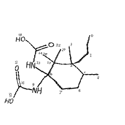 CCC1(C)C(C)CCC(NC(=O)O)(NC(=O)O)C1(C)C